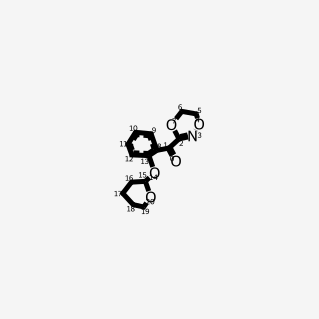 O=C(C1=NOCCO1)c1ccccc1OC1CCCCO1